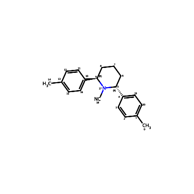 Cc1ccc([C@H]2CCC[C@H](c3ccc(C)cc3)N2C#N)cc1